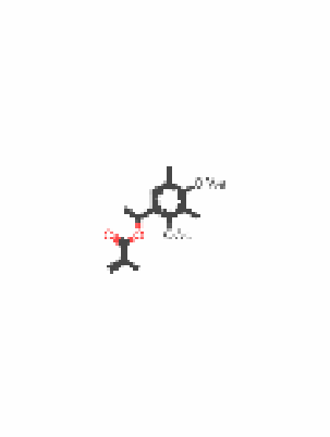 C=C(C)C(=O)OC(C)c1cc(C)c(OC)c(C)c1OC(C)=O